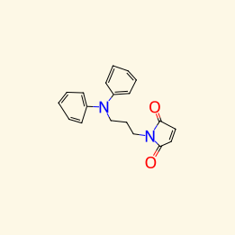 O=C1C=CC(=O)N1CCCN(c1ccccc1)c1ccccc1